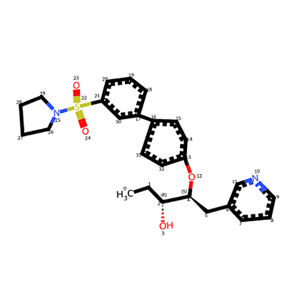 CC[C@@H](O)[C@H](Cc1cccnc1)Oc1ccc(-c2cccc(S(=O)(=O)N3CCCC3)c2)cc1